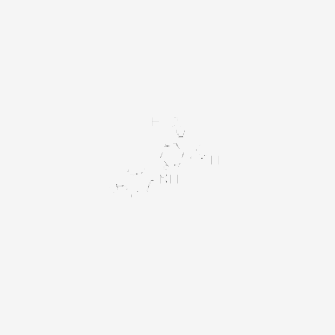 C/C=C(\C=C/C=O)Nc1ccc(OC)c(CC)c1